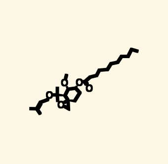 CCCCCCCCCCC(=O)O[C@@H]1CC[C@]2(CO2)[C@@H](C(C)(C)OCC=C(C)C)[C@@H]1OC